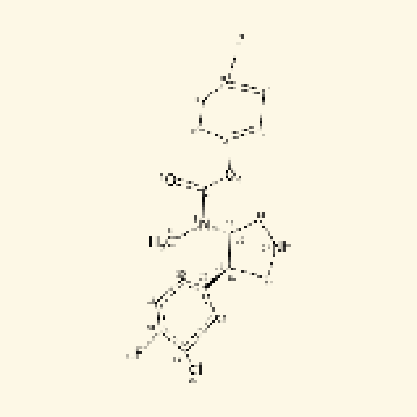 CN(C(=O)OC1=CC=C(F)CC1)[C@@H]1CNC[C@H]1c1ccc(F)c(Cl)c1